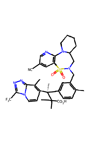 Cc1ccc([C@](C)(c2ccn3c(C(F)(F)F)nnc3c2C)C(C)(C)C(=O)O)cc1CN1CC2CCCCN2c2ncc(C#N)cc2S1(=O)=O